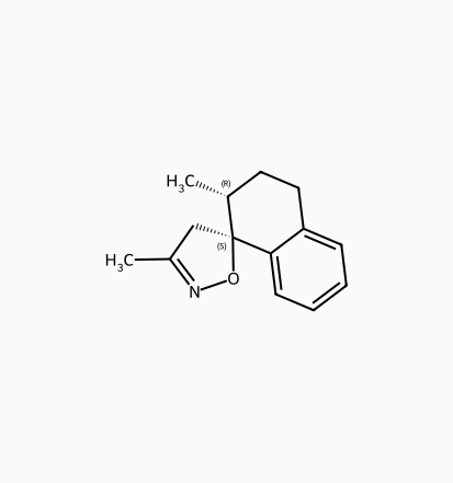 CC1=NO[C@]2(C1)c1ccccc1CC[C@H]2C